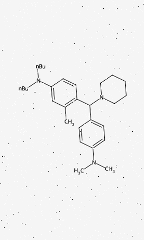 CCCCN(CCCC)c1ccc(C(c2ccc(N(C)C)cc2)N2CCCCC2)c(C)c1